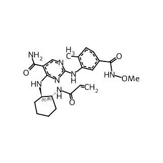 C=CC(=O)N[C@@H]1CCCC[C@H]1Nc1nc(Nc2cc(C(=O)NOC)ccc2C)ncc1C(N)=O